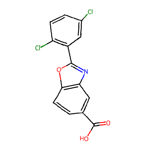 O=C(O)c1ccc2oc(-c3cc(Cl)ccc3Cl)nc2c1